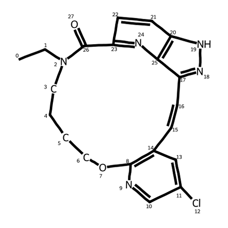 CCN1CCCCOc2ncc(Cl)cc2C=Cc2n[nH]c3ccc(nc23)C1=O